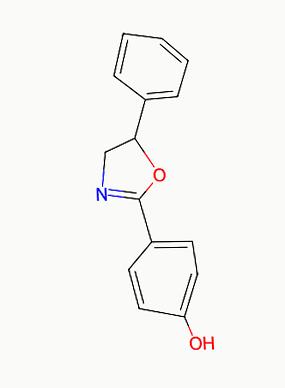 Oc1ccc(C2=NCC(c3ccccc3)O2)cc1